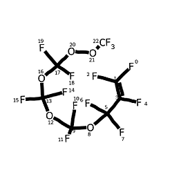 FC(F)=C(F)C(F)(F)OC(F)(F)OC(F)(F)OC(F)(F)OOC(F)(F)F